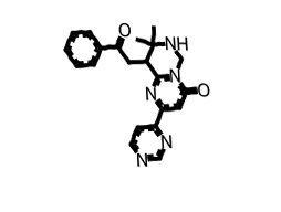 CC1(C)NCn2c(nc(-c3ccncn3)cc2=O)C1CC(=O)c1ccccc1